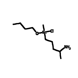 CCCC[O][Sn]([CH3])([Cl])[CH2]CCC(C)N